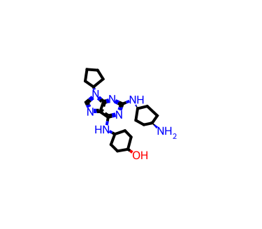 N[C@H]1CC[C@H](Nc2nc(NC3CCC(O)CC3)c3ncn(C4CCCC4)c3n2)CC1